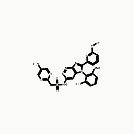 CCOC1=NC(c2nc3nnc(NS(=O)(=O)Cc4ncc(N)cn4)cc3n2-c2c(O)cccc2OC)=C=C=C1